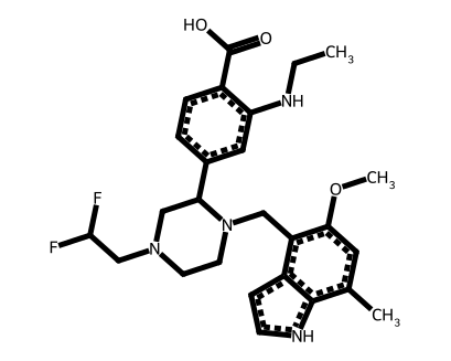 CCNc1cc(C2CN(CC(F)F)CCN2Cc2c(OC)cc(C)c3[nH]ccc23)ccc1C(=O)O